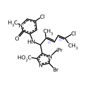 C/C(Cl)=C\C=C(/C)C(Nc1cc(Cl)cn(C)c1=O)c1c(C(=O)O)nc(Br)n1C(C)C